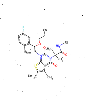 CCNC(=O)C(C)(C)n1c(=O)c2c(C)c(C(=O)OCC)sc2n(C[C@H](OCCC#N)c2cc(F)ccc2OC)c1=O